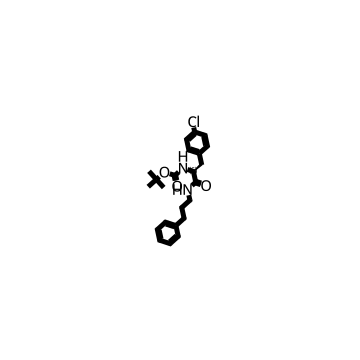 CC(C)(C)OC(=O)N[C@@H](Cc1ccc(Cl)cc1)C(=O)NCCCc1ccccc1